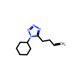 C=CCCc1nnnn1C1CCCCC1